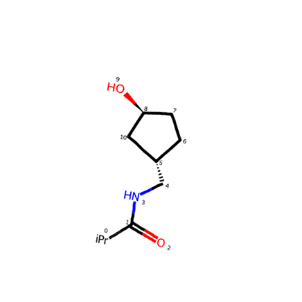 CC(C)C(=O)NC[C@H]1CC[C@H](O)C1